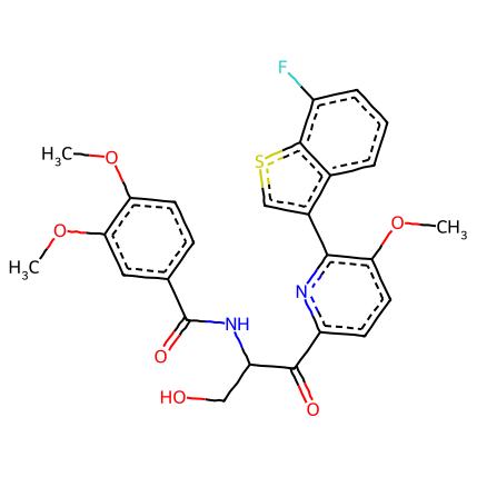 COc1ccc(C(=O)NC(CO)C(=O)c2ccc(OC)c(-c3csc4c(F)cccc34)n2)cc1OC